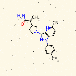 C=C(C(N)=O)C1CCN(c2nn(-c3ccc(C(F)(F)F)cc3)c3ccc(C#N)nc23)C1